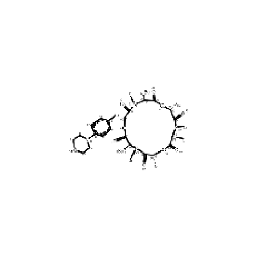 CCC(C)[C@H]1C(=O)O[C@H](Cc2ccc(N3CCOCC3)cc2)C(=O)N(C)[C@@H](C(C)CC)C(=O)O[C@H](C)C(=O)N(C)[C@@H](C)C(=O)O[C@H](C)C(=O)N1C